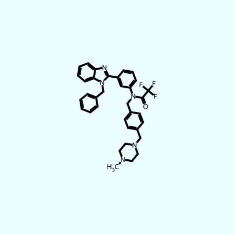 CN1CCN(Cc2ccc(CN(C(=O)C(F)(F)F)c3cccc(-c4nc5ccccc5n4Cc4ccccc4)c3)cc2)CC1